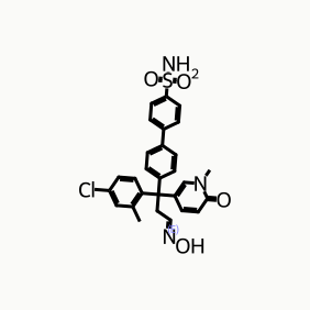 Cc1cc(Cl)ccc1C(C/C=N/O)(c1ccc(-c2ccc(S(N)(=O)=O)cc2)cc1)c1ccc(=O)n(C)c1